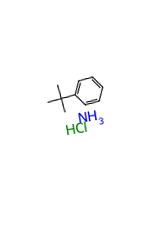 CC(C)(C)c1ccccc1.Cl.N